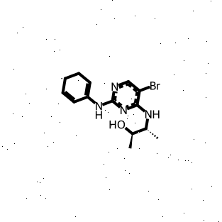 C[C@@H](O)[C@@H](C)Nc1nc(NC2=CC[CH]C=C2)ncc1Br